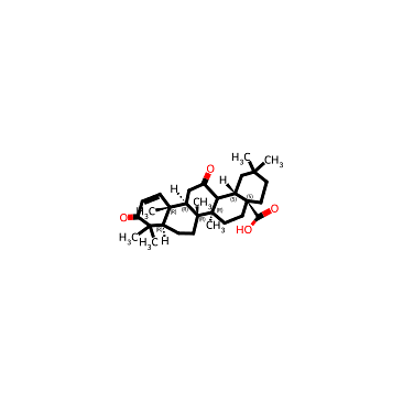 CC1(C)CC[C@]2(C(=O)O)CC[C@]3(C)C(C(=O)C[C@@H]4[C@@]5(C)C=CC(=O)C(C)(C)[C@@H]5CC[C@]43C)[C@@H]2C1